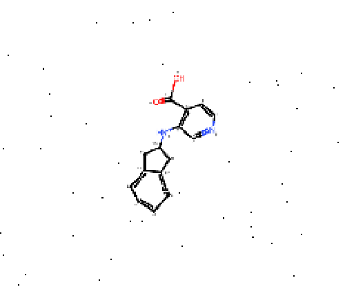 O=C(O)c1ccncc1NC1Cc2ccccc2C1